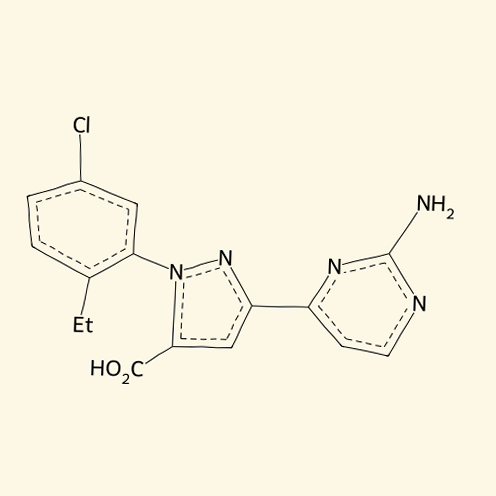 CCc1ccc(Cl)cc1-n1nc(-c2ccnc(N)n2)cc1C(=O)O